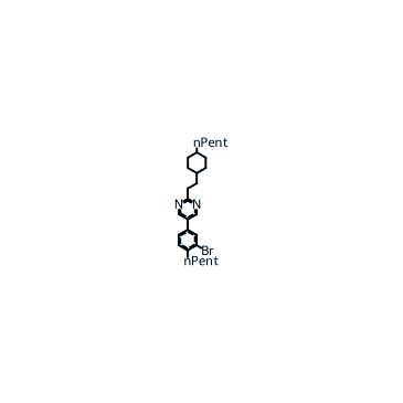 CCCCCc1ccc(-c2cnc(CCC3CCC(CCCCC)CC3)nc2)cc1Br